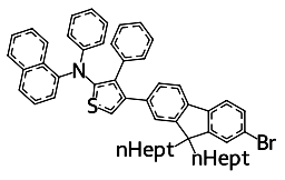 CCCCCCCC1(CCCCCCC)c2cc(Br)ccc2-c2ccc(-c3csc(N(c4ccccc4)c4cccc5ccccc45)c3-c3ccccc3)cc21